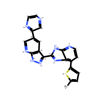 CC(=O)c1ccc(-c2ccnc3[nH]c(-c4n[nH]c5ncc(-c6cnccn6)cc45)nc23)s1